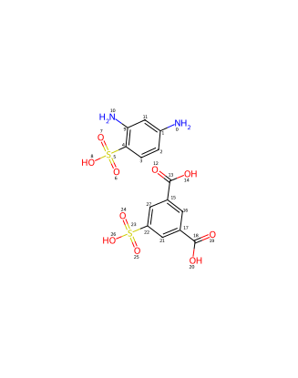 Nc1ccc(S(=O)(=O)O)c(N)c1.O=C(O)c1cc(C(=O)O)cc(S(=O)(=O)O)c1